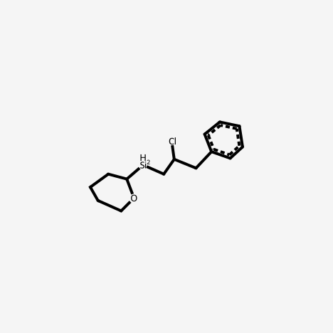 ClC(C[SiH2]C1CCCCO1)Cc1ccccc1